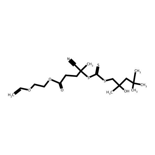 C=COCCOC(=O)CCC(C)(C#N)SC(=S)SCC(C)(O)CC(C)(C)C